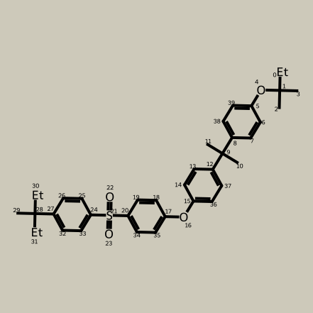 CCC(C)(C)Oc1ccc(C(C)(C)c2ccc(Oc3ccc(S(=O)(=O)c4ccc(C(C)(CC)CC)cc4)cc3)cc2)cc1